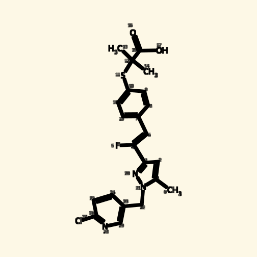 Cc1cc(C(F)=Cc2ccc(SC(C)(C)C(=O)O)cc2)nn1Cc1ccc(Cl)nc1